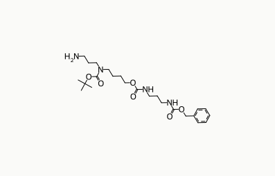 CC(C)(C)OC(=O)N(CCCN)CCCCOC(=O)NCCCNC(=O)OCc1ccccc1